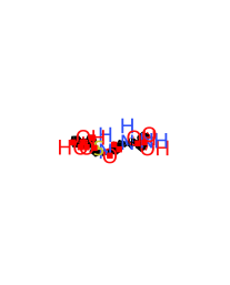 O=C(NCc1ccc(-c2cccc([C@](O)(C(=O)O)c3ccccc3)c2)s1)c1ccc(CCNC[C@H](O)c2ccc(O)c3[nH]c(=O)ccc23)cc1